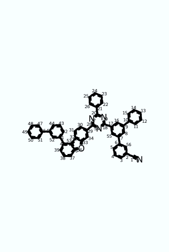 N#Cc1cccc(-c2cc(-c3ccccc3)cc(-c3nc(-c4ccccc4)nc(-c4ccc5c(c4)oc4cccc(-c6cccc(-c7ccccc7)c6)c45)n3)c2)c1